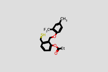 CCC(=O)Oc1cccc(CS)c1COc1ccc(C)cc1C(F)(F)F